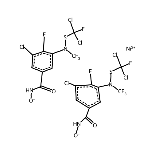 O=C(N[O-])c1cc(Cl)c(F)c(N(SC(F)(Cl)Cl)C(F)(F)F)c1.O=C(N[O-])c1cc(Cl)c(F)c(N(SC(F)(Cl)Cl)C(F)(F)F)c1.[Ni+2]